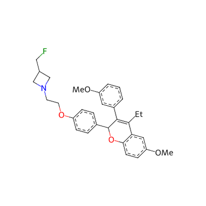 CCC1=C(c2cccc(OC)c2)C(c2ccc(OCCN3CC(CF)C3)cc2)Oc2ccc(OC)cc21